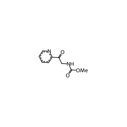 COC(=O)NCC(=O)c1ccccn1